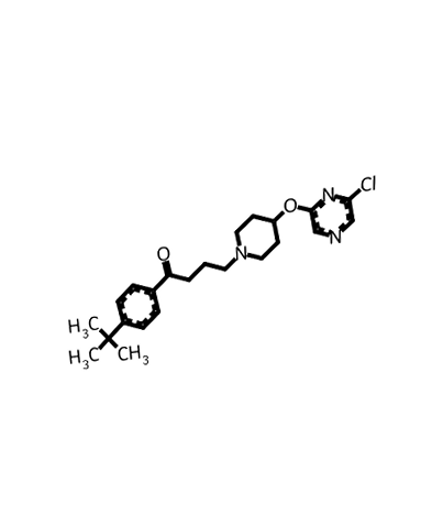 CC(C)(C)c1ccc(C(=O)CCCN2CCC(Oc3cncc(Cl)n3)CC2)cc1